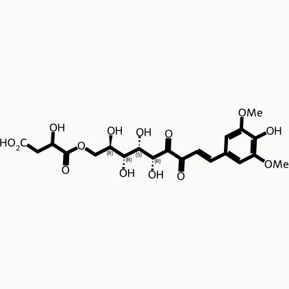 COc1cc(C=CC(=O)C(=O)[C@H](O)[C@@H](O)[C@H](O)[C@H](O)COC(=O)C(O)CC(=O)O)cc(OC)c1O